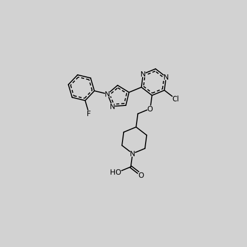 O=C(O)N1CCC(COc2c(Cl)ncnc2-c2cnn(-c3ccccc3F)c2)CC1